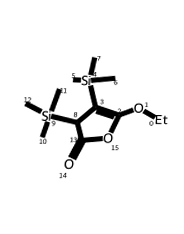 CCOC1=C([Si](C)(C)C)C([Si](C)(C)C)C(=O)O1